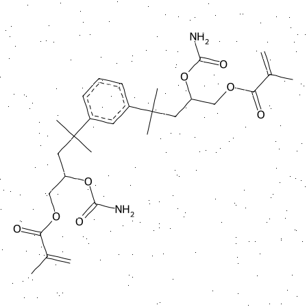 C=C(C)C(=O)OCC(CC(C)(C)c1cccc(C(C)(C)CC(COC(=O)C(=C)C)OC(N)=O)c1)OC(N)=O